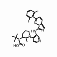 CC1C(N(C(=O)O)C(C)(C)C)CCCN1c1ccncc1Nc1ncc2ccc(-c3c(F)cccc3F)nn12